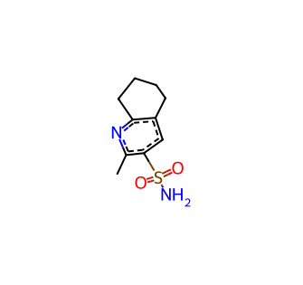 Cc1nc2c(cc1S(N)(=O)=O)CCCC2